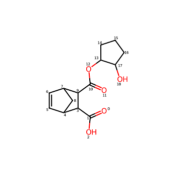 O=C(O)C1C2C=CC(C2)C1C(=O)OC1CCCC1O